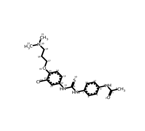 CC(=O)Nc1ccc(NC(=S)Nc2ccc(OCCCN(C)C)c(Cl)c2)cc1